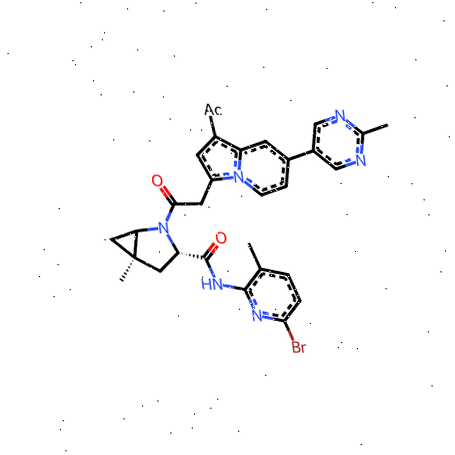 CC(=O)c1cc(CC(=O)N2C3C[C@]3(C)C[C@H]2C(=O)Nc2nc(Br)ccc2C)n2ccc(-c3cnc(C)nc3)cc12